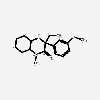 CCC1(c2cccc(OC)c2)OC2CCCCC2N(C)C1=O